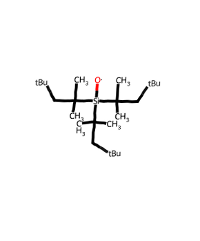 CC(C)(C)CC(C)(C)[Si]([O])(C(C)(C)CC(C)(C)C)C(C)(C)CC(C)(C)C